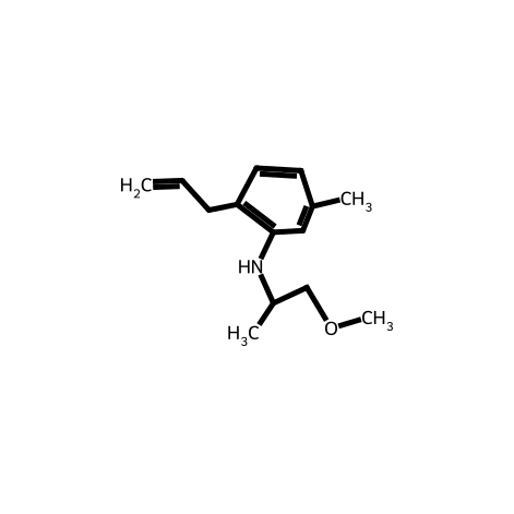 C=CCc1ccc(C)cc1NC(C)COC